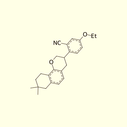 CCOc1ccc(C2COc3c(ccc4c3CCC(C)(C)C4)C2)c(C#N)c1